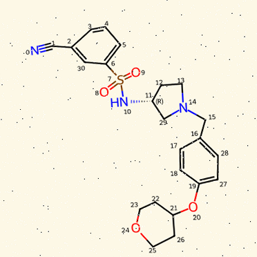 N#Cc1cccc(S(=O)(=O)N[C@@H]2CCN(Cc3ccc(OC4CCOCC4)cc3)C2)c1